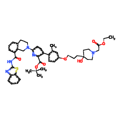 CCOC(=O)CN1CCC(O)(CCCOc2ccc(-c3ccc(N4CCc5cccc(C(=O)Nc6nc7ccccc7s6)c5C4)nc3C(=O)OC(C)(C)C)c(C)c2)CC1